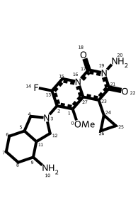 COc1c(N2CC3CCCC(N)C3C2)c(F)cn2c(=O)n(N)c(=O)c(C3CC3)c12